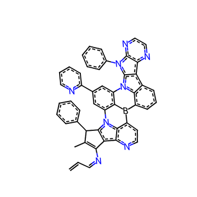 C=C/C=N\C1=C(C)C(c2ccccc2)c2c1c1nccc3c1n2-c1cc(-c2ccccn2)cc2c1B3c1cccc3c4c5nccnc5n(-c5ccccc5)c4n-2c13